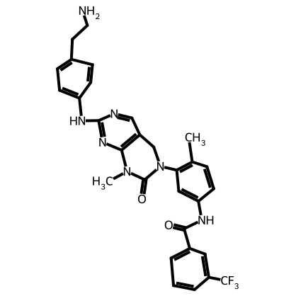 Cc1ccc(NC(=O)c2cccc(C(F)(F)F)c2)cc1N1Cc2cnc(Nc3ccc(CCN)cc3)nc2N(C)C1=O